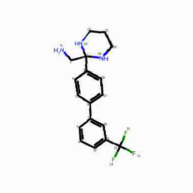 NCC1(c2ccc(-c3cccc(C(F)(F)F)c3)cc2)NCCCN1